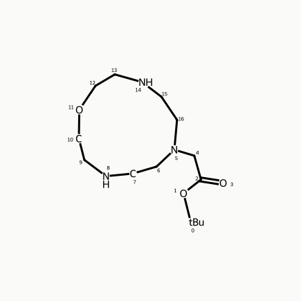 CC(C)(C)OC(=O)CN1CCNCCOCCNCC1